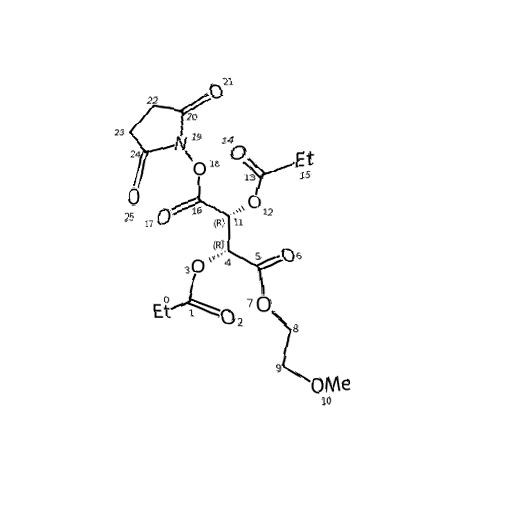 CCC(=O)O[C@@H](C(=O)OCCOC)[C@@H](OC(=O)CC)C(=O)ON1C(=O)CCC1=O